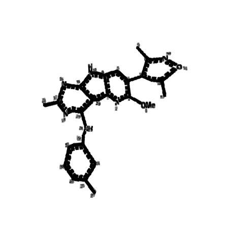 COc1nc2c(cc1-c1c(C)noc1C)[nH]c1nc(C)nc(Nc3cccc(C)c3)c12